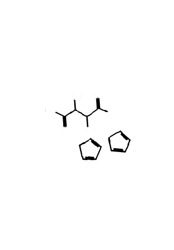 C1=CCC=C1.C1=CCC=C1.O=C(O)C(O)C(O)C(=O)O